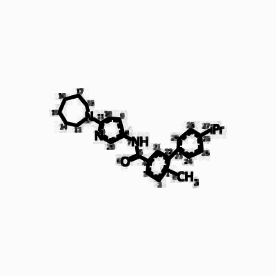 Cc1ccc(C(=O)Nc2ccc(N3CCCCCC3)nc2)cc1-c1ccc(C(C)C)cc1